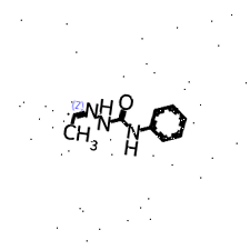 C/[C]=N\NC(=O)Nc1ccccc1